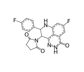 O=C1CCC(=O)N1C1c2n[nH]c(=O)c3cc(F)cc(c23)NC1c1ccc(F)cc1